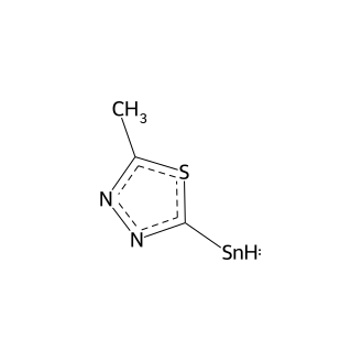 Cc1nn[c]([SnH])s1